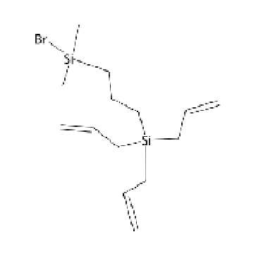 C=CC[Si](CC=C)(CC=C)CCC[Si](C)(C)Br